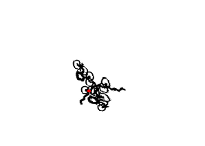 CCCCCC(=O)OCC(COC(=O)CCCCC)(COC(=O)c1ccccc1OC(C)=O)COC(=O)c1ccccc1OC(C)=O